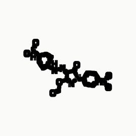 O=COC1=NN(c2ccc([SH](=O)=O)cc2)C(=O)/C1=N/Nc1ccc([SH](=O)=O)cc1